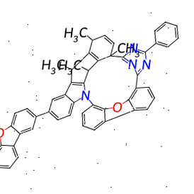 CC1C=CC2(C)C3=C1C(C)c1c(n(c4ccc(-c5ccc6oc7ccccc7c6c5)cc14)-c1cccc4c1oc1c(cccc14)-c1nc(-c4ccccc4)nc2n1)C3C